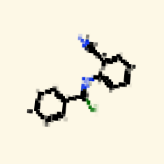 N#Cc1ccccc1N=C(Cl)c1ccccc1